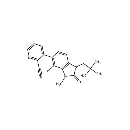 Cn1c(=O)n(CC(C)(C)C)c2ccc(-c3cccnc3C#N)c(F)c21